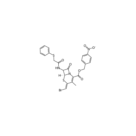 CC1=C(C(=O)OCc2ccc([N+](=O)[O-])cc2)N2C(=O)C(NC(=O)CSc3ccccc3)[C@@H]2SC1=CBr